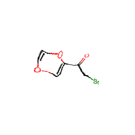 O=C(CBr)C1=COC=CO1